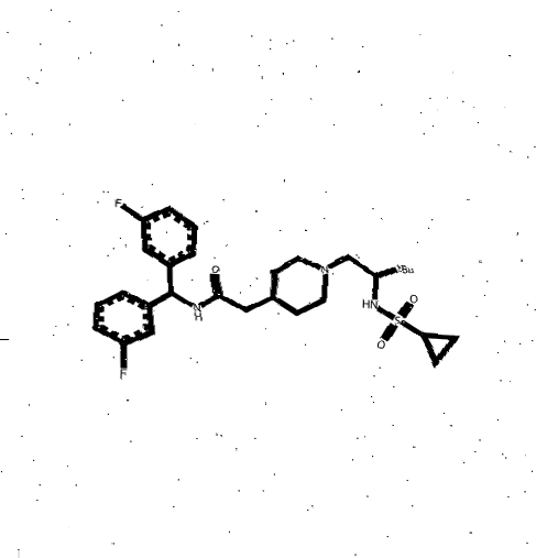 CC(C)(C)C(CN1CCC(CC(=O)NC(c2cccc(F)c2)c2cccc(F)c2)CC1)NS(=O)(=O)C1CC1